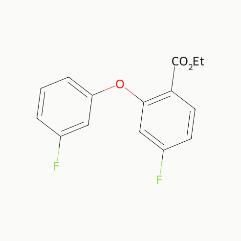 CCOC(=O)c1ccc(F)cc1Oc1cccc(F)c1